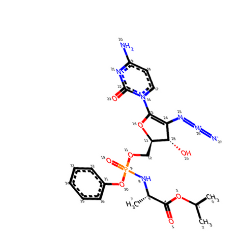 CC(C)OC(=O)[C@H](C)NP(=O)(OC[C@H]1OC(n2ccc(N)nc2=O)=C(N=[N+]=[N-])[C@@H]1O)Oc1ccccc1